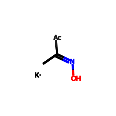 CC(=O)C(C)=NO.[K]